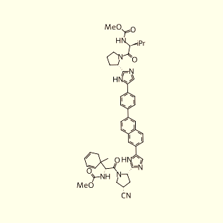 COC(=O)N[C@H](C(=O)N1CCC[C@H]1c1ncc(-c2ccc(-c3ccc4cc(-c5cnc([C@@H]6C[C@H](C#N)CN6C(=O)[C@H](NC(=O)OC)C6(C)C=CC=CC6)[nH]5)ccc4c3)cc2)[nH]1)C(C)C